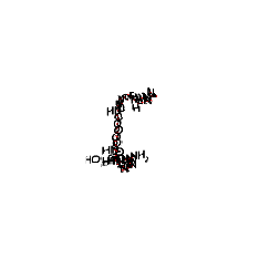 CN(Cc1cnc2nc(N)nc(N)c2n1)c1ccc(C(=O)N[C@@H](CCC(=O)NCCOCCOCCOCCOCCOCCNC(=O)CN2CCN(Cc3ccc(C(=O)Nc4cccc(Nc5nccc(-c6cccnc6)n5)c4)cc3)CC2)C(=O)O)cc1